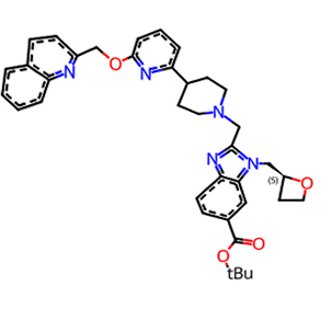 CC(C)(C)OC(=O)c1ccc2nc(CN3CCC(c4cccc(OCc5ccc6ccccc6n5)n4)CC3)n(C[C@@H]3CCO3)c2c1